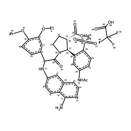 CCOc1cc(C(Nc2ccc3c(N)nccc3c2)C(=O)N2CC[C@H](C(=O)OC)[C@H]2c2cc(NC(C)=O)ccc2S(=O)(=O)C(C)C)ccc1OC(C)C.O=C(O)C(F)(F)F